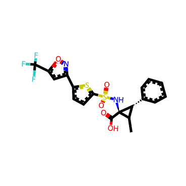 CC1[C@@H](c2ccccc2)[C@@]1(NS(=O)(=O)c1ccc(-c2cc(C(F)(F)F)on2)s1)C(=O)O